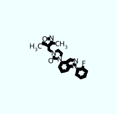 Cc1noc(C)c1CN1CCN(c2cccc3c2cnn3-c2ccccc2F)C1=O